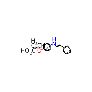 CC(C)(Oc1ccc(N/C=C/c2ccccc2)cc1)C(=O)O